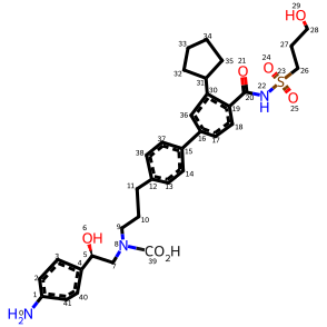 Nc1ccc([C@@H](O)CN(CCCc2ccc(-c3ccc(C(=O)NS(=O)(=O)CCCO)c(C4CCCC4)c3)cc2)C(=O)O)cc1